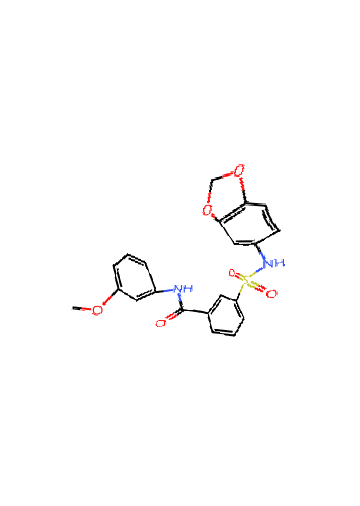 COc1cccc(NC(=O)c2cccc(S(=O)(=O)Nc3ccc4c(c3)OCO4)c2)c1